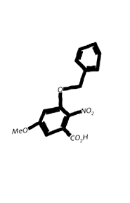 COc1cc(OCc2ccccc2)c([N+](=O)[O-])c(C(=O)O)c1